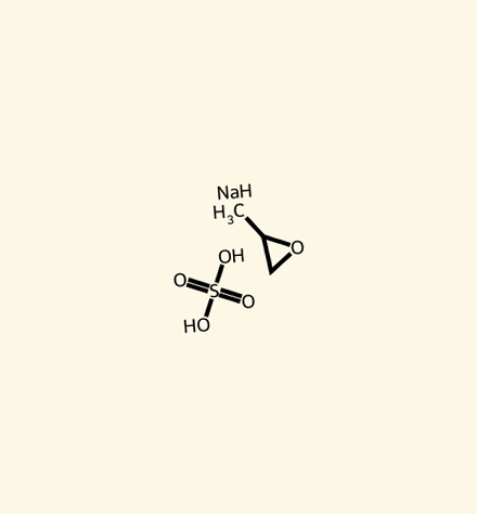 CC1CO1.O=S(=O)(O)O.[NaH]